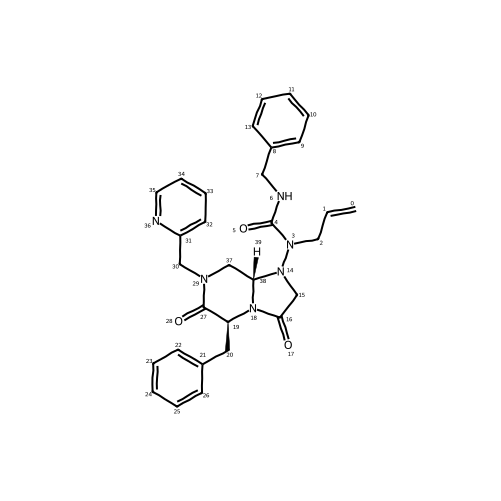 C=CCN(C(=O)NCc1ccccc1)N1CC(=O)N2[C@@H](Cc3ccccc3)C(=O)N(Cc3ccccn3)C[C@@H]21